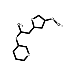 COC1COC(CC(C)OC2CCCOC2)C1